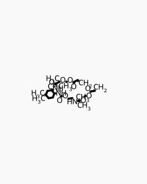 C=CC(=O)OCOC(C)(C)NCCOC(=O)NC1CCC(C)(C)CC1(C)NC(=O)C(C)(C)OCOC(=O)C=C